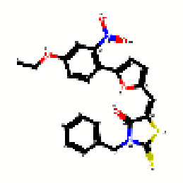 CCOc1ccc(-c2ccc(C=C3SC(=S)N(Cc4ccccc4)C3=O)o2)c([N+](=O)[O-])c1